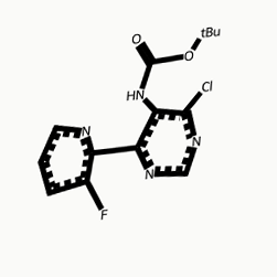 CC(C)(C)OC(=O)Nc1c(Cl)ncnc1-c1ncccc1F